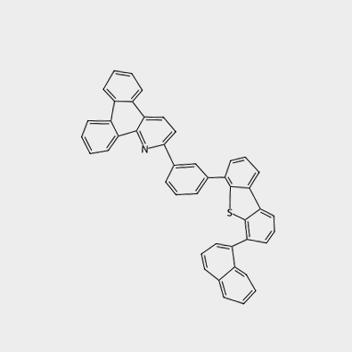 c1cc(-c2ccc3c4ccccc4c4ccccc4c3n2)cc(-c2cccc3c2sc2c(-c4cccc5ccccc45)cccc23)c1